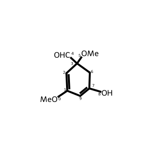 COC1=CC(C=O)(OC)CC(O)=C1